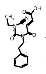 CCN(C#N)C(=O)N(CCc1ccccc1)C(=O)C=CC(=O)O